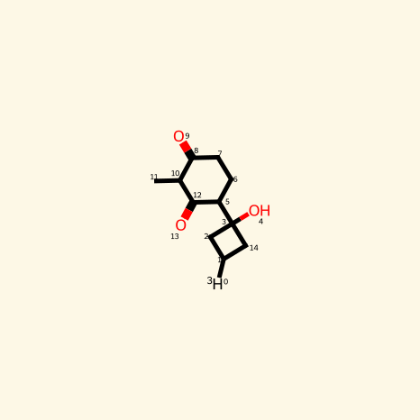 [3H]C1CC(O)(C2CCC(=O)C(C)C2=O)C1